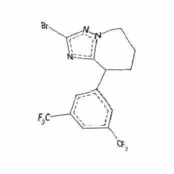 FC(F)(F)c1cc(C2CCCn3nc(Br)nc32)cc(C(F)(F)F)c1